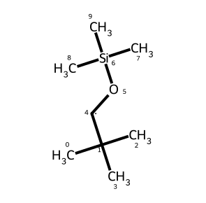 CC(C)(C)[CH]O[Si](C)(C)C